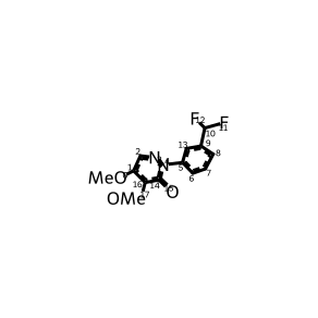 COc1cnn(-c2cccc(C(F)F)c2)c(=O)c1OC